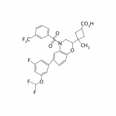 CC1(C2CN(S(=O)(=O)c3cccc(C(F)(F)F)c3)c3cc(-c4cc(F)cc(OC(F)F)c4)ccc3O2)CC(C(=O)O)C1